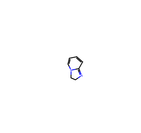 [C]1=[C]C2=NCCN2C=C1